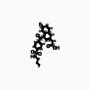 CCCNS(=O)(=O)c1ccc(C(=O)c2cc(CC(=O)O)cc3ccc(F)cc23)cc1